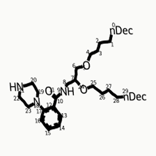 CCCCCCCCCCCCCCOCC(CNC(=O)c1ccccc1N1CCNCC1)OCCCCCCCCCCCCCC